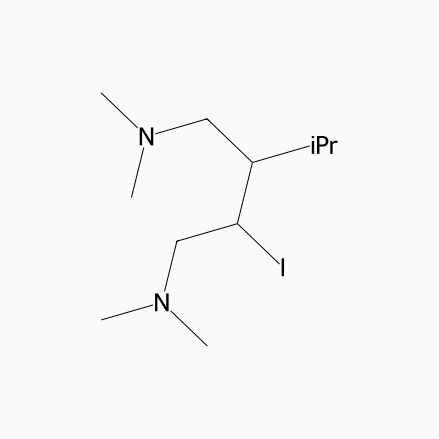 CC(C)C(CN(C)C)C(I)CN(C)C